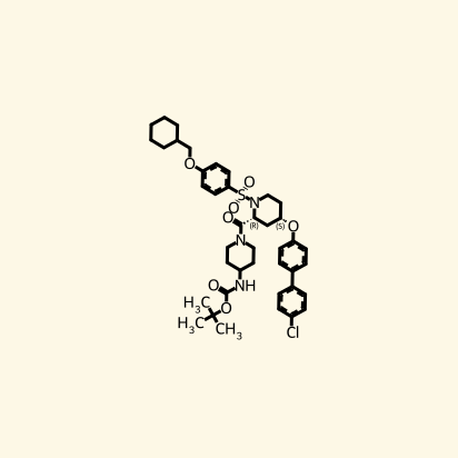 CC(C)(C)OC(=O)NC1CCN(C(=O)[C@H]2C[C@@H](Oc3ccc(-c4ccc(Cl)cc4)cc3)CCN2S(=O)(=O)c2ccc(OCC3CCCCC3)cc2)CC1